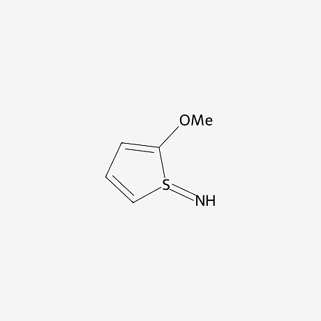 COC1=CC=CS1=N